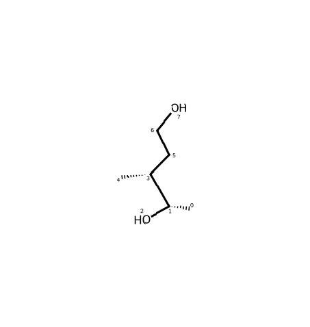 C[C@H](O)[C@H](C)CCO